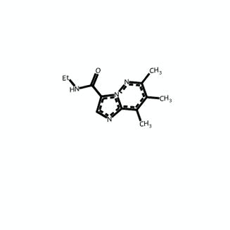 CCNC(=O)c1cnc2c(C)c(C)c(C)nn12